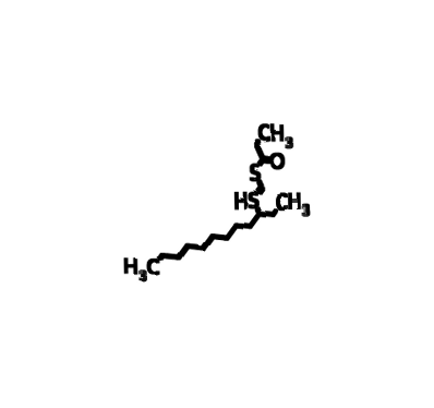 CCCCCCCCCC(CC)[SH]=CSC(=O)CC